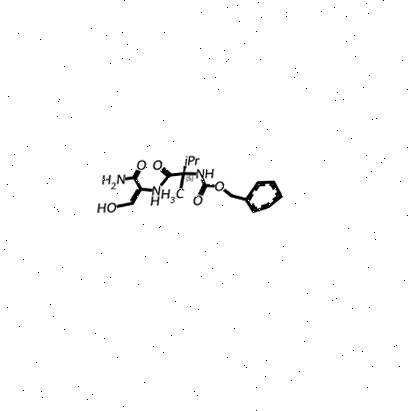 CC(C)[C@](C)(NC(=O)OCc1ccccc1)C(=O)NC(=CO)C(N)=O